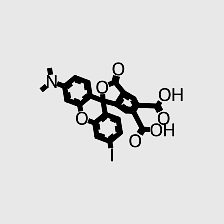 CN(C)c1ccc2c(c1)Oc1cc(I)ccc1C21OC(=O)c2cc(C(=O)O)c(C(=O)O)cc21